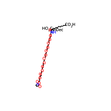 CCCCCCCCCCC[C@@](CCCCCCCCCCC(=O)O)(C(=O)O)C(=O)NCCOCCOCCOCCOCCOCCOCCOCCOCCOCCOCCOCCOCCC(=O)ON1CCCC1=O